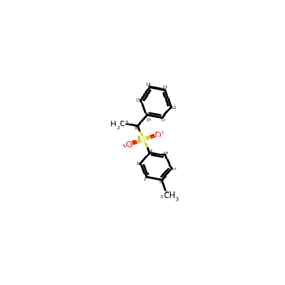 Cc1ccc(S(=O)(=O)C(C)c2ccccc2)cc1